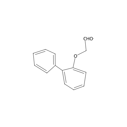 O=[C]COc1ccccc1-c1ccccc1